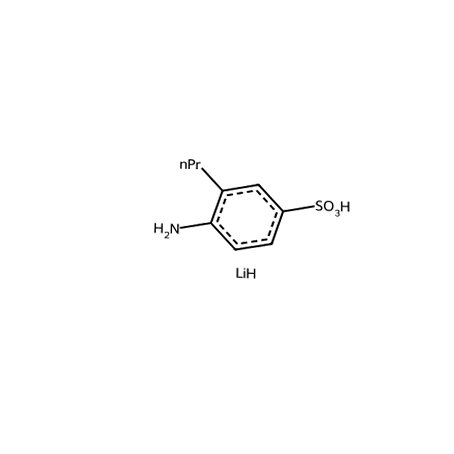 CCCc1cc(S(=O)(=O)O)ccc1N.[LiH]